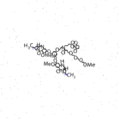 C/C=C1\C[C@H]2CNc3cc(OCc4cc(OCCN(CCCC(=O)ON5C(=O)CCC5=O)C(=O)CCOCCOCCOCCOC)cc(COc5cc6c(cc5OC)C(=O)N5C/C(=C/C)C[C@H]5C=N6)n4)c(OC)cc3C(=O)N2C1